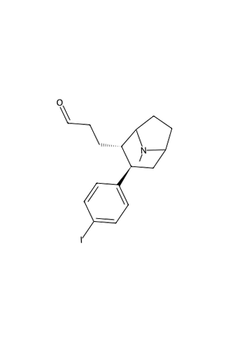 CN1C2CCC1[C@@H](CCC=O)[C@H](c1ccc(I)cc1)C2